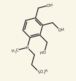 CN(CCS(=O)(=O)O)c1ccc(CO)c(CO)c1CO